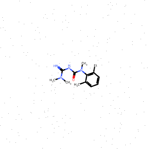 CCc1cccc(C)c1N(C)C(=O)NC(=N)N(C)C